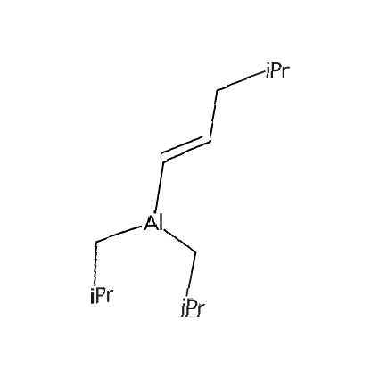 CC(C)C/C=[CH]/[Al]([CH2]C(C)C)[CH2]C(C)C